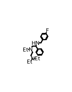 CCN(CC)CCN(CC)CC(NCc1ccc(F)cc1)c1ccccc1